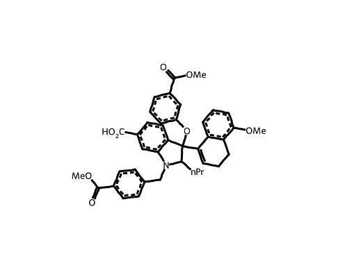 CCCC1N(Cc2ccc(C(=O)OC)cc2)c2cc(C(=O)O)ccc2C1(Oc1cccc(C(=O)OC)c1)C1=CCCc2c(OC)cccc21